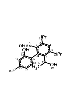 CCCCCCc1c(C(C)C)cc(C(C)C)c(C(C)O)c1-c1ccc(F)cc1O